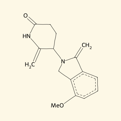 C=C1NC(=O)CCC1N1Cc2c(OC)cccc2C1=C